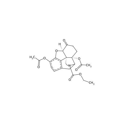 CCOC(=O)N1CC[C@]23c4c5ccc(OC(C)=O)c4O[C@H]2C(=O)CC[C@@]3(OC(C)=O)C1C5